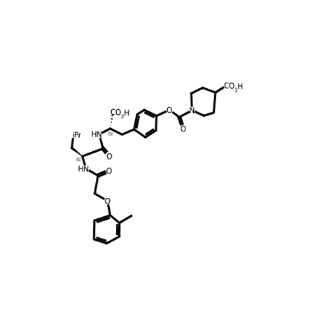 Cc1ccccc1OCC(=O)N[C@@H](CC(C)C)C(=O)N[C@@H](Cc1ccc(OC(=O)N2CCC(C(=O)O)CC2)cc1)C(=O)O